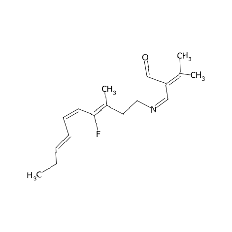 CC/C=C/C=C\C(F)=C(/C)CC/N=C\C(C=O)=C(C)C